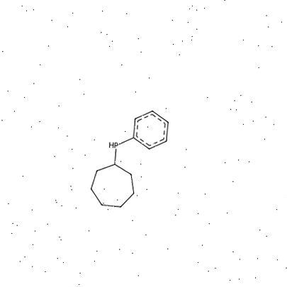 c1ccc(PC2CCCCCC2)cc1